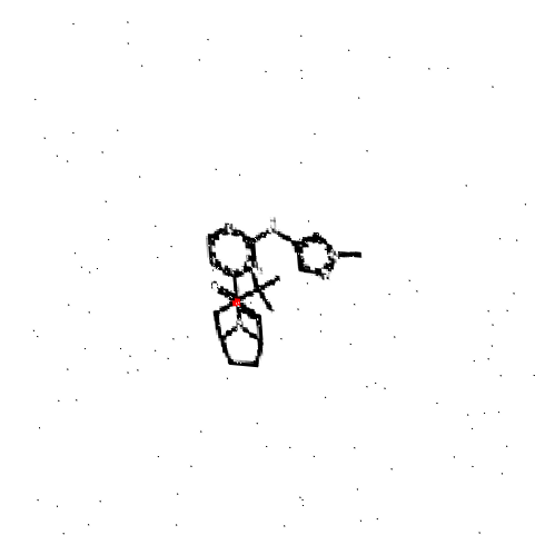 Cn1cc(Nc2nccc(C3=CC4CCC(C3)N4C(=O)C(C)(C)C(F)(F)F)n2)cn1